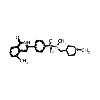 Cc1cccc2c(=O)[nH]c(-c3ccc(S(=O)(=O)N(C)CC4CCN(C)CC4)cc3)cc12